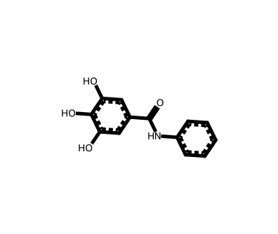 O=C(Nc1ccccc1)c1cc(O)c(O)c(O)c1